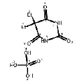 CCC1(CC)C(=O)NC(=O)NC1=O.O=P(O)(O)O